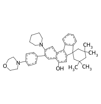 CC1(C)CC(C)(C)CC2(C1)c1ccccc1-c1c2cc(O)c2cc(-c3ccc(N4CCOCC4)cc3)c(N3CCCCC3)cc12